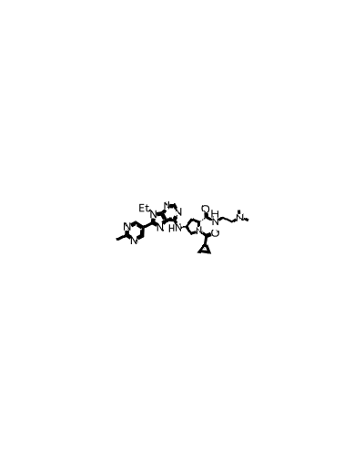 CCn1c(-c2cnc(C)nc2)nc2c(N[C@H]3C[C@H](C(=O)NCCN(C)C)N(C(=O)C4CC4)C3)ncnc21